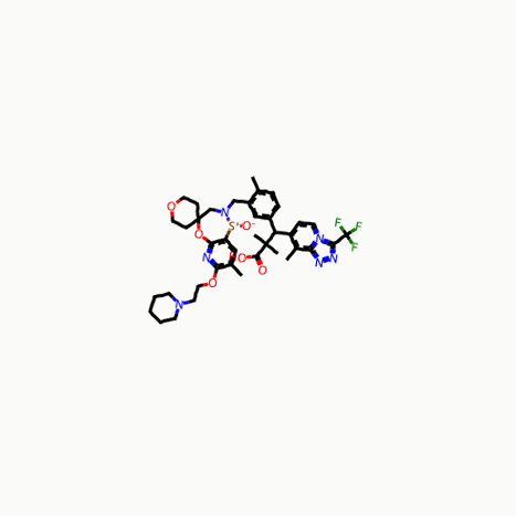 Cc1ccc(C(c2ccn3c(C(F)(F)F)nnc3c2C)C(C)(C)C(=O)O)cc1CN1CC2(CCOCC2)Oc2nc(OCCN3CCCCC3)c(C)cc2[S+]1[O-]